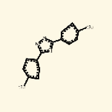 CC(C)(C)c1ccc(-c2nnc(-c3ccc(C(C)(C)C)cc3)o2)cc1